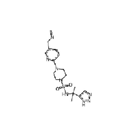 C=NCc1ccc(N2CCN(S(=O)(=O)NC(C)(C)c3cnn[nH]3)CC2)nc1